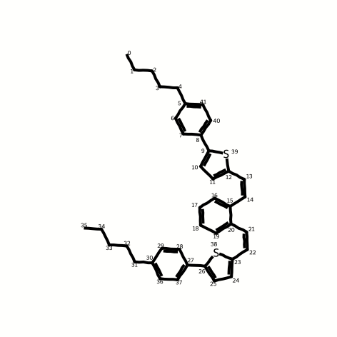 CCCCCc1ccc(-c2ccc(/C=C\c3ccccc3/C=C\c3ccc(-c4ccc(CCCCC)cc4)s3)s2)cc1